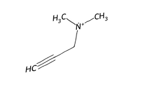 C#CC[N+](C)C